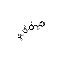 CC(=O)NC[C@H]1CN(c2ccc(C=C(Br)c3ccccc3)c(F)c2)C(=O)O1